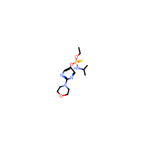 CCOP(=S)(NC(C)C)Oc1cnc(N2CCOCC2)nc1